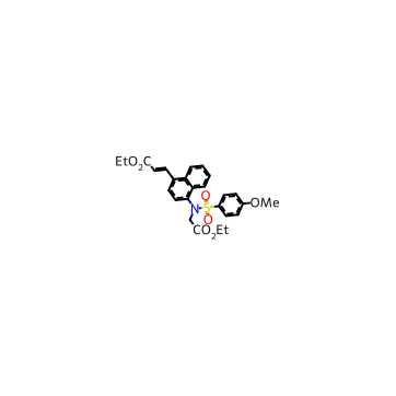 CCOC(=O)/C=C/c1ccc(N(CC(=O)OCC)S(=O)(=O)c2ccc(OC)cc2)c2ccccc12